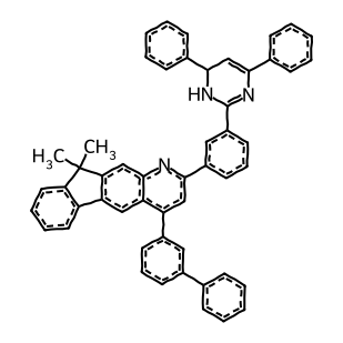 CC1(C)c2ccccc2-c2cc3c(-c4cccc(-c5ccccc5)c4)cc(-c4cccc(C5=NC(c6ccccc6)=CC(c6ccccc6)N5)c4)nc3cc21